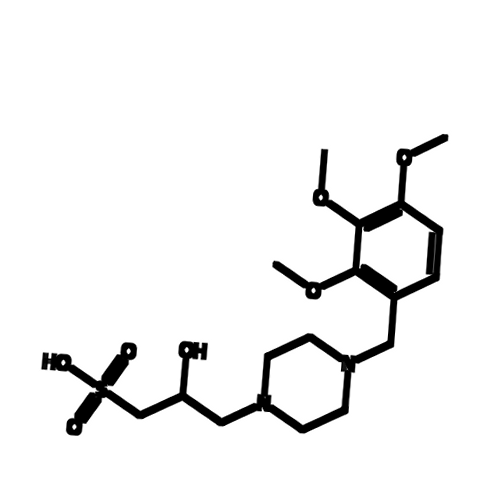 COc1ccc(CN2CCN(CC(O)CS(=O)(=O)O)CC2)c(OC)c1OC